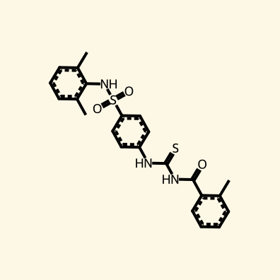 Cc1ccccc1C(=O)NC(=S)Nc1ccc(S(=O)(=O)Nc2c(C)cccc2C)cc1